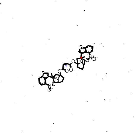 CCN1C2CCC1(OC(=O)/C=C\C(=O)OC13CCC(CC(c4csc5cccc([N+](=O)[O-])c45)C1)N3CC)CC(c1csc3cccc([N+](=O)[O-])c13)C2